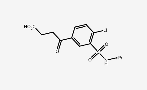 CCCNS(=O)(=O)c1cc(C(=O)CCC(=O)O)ccc1Cl